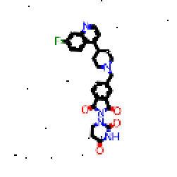 O=C1CCN(N2C(=O)c3ccc(CN4CCC(c5ccnc6cc(F)ccc56)CC4)cc3C2=O)C(=O)N1